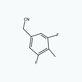 Cc1c(F)cc(CC#N)cc1F